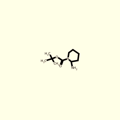 CC(C)(C)OC(=O)N1CCCCC1N